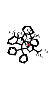 CC1=CC=CC2C(C(C3=C(C)C=C(C(C)C)C3)(c3ccccc3)c3ccccc3)C3(C)C4(C)C=CC=CC4(C)C4(C)C=CC=CC4(C)C3(C)C12C